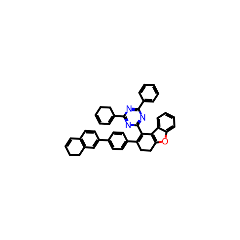 C1=CCCC(c2nc(C3=C(c4ccc(-c5ccc6c(c5)CCC=C6)cc4)CCc4oc5ccccc5c43)nc(-c3ccccc3)n2)=C1